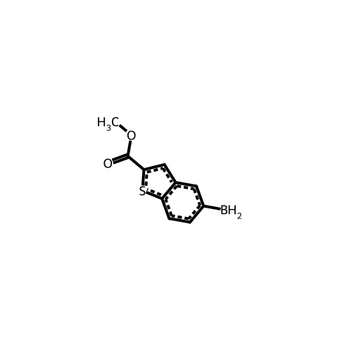 Bc1ccc2sc(C(=O)OC)cc2c1